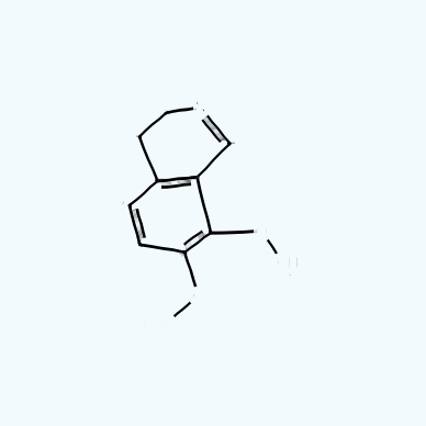 COc1ccc2c(c1OC)C=NCC2